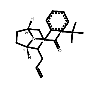 C=CCC1[C@@H]2CC[C@H](CN1C(=O)OC(C)(C)C)N2Cc1ccccc1